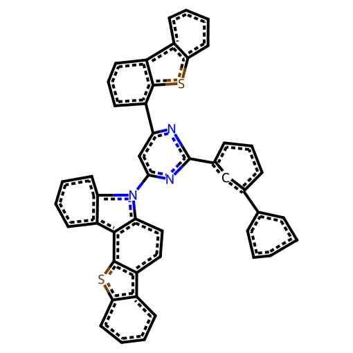 c1ccc(-c2cccc(-c3nc(-c4cccc5c4sc4ccccc45)cc(-n4c5ccccc5c5c6sc7ccccc7c6ccc54)n3)c2)cc1